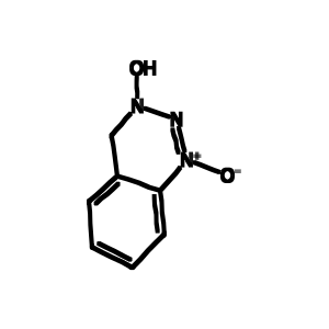 [O-][N+]1=NN(O)Cc2ccccc21